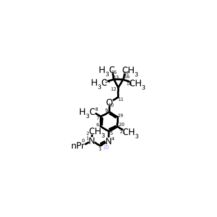 CCCN(C)/C=N\c1cc(C)c(OCC2C(C)(C)C2(C)C)cc1C